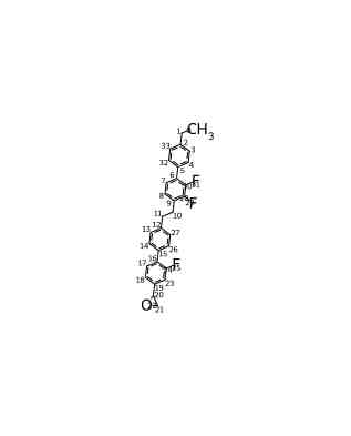 CCc1ccc(-c2ccc(CCc3ccc(-c4ccc(C5CO5)cc4F)cc3)c(F)c2F)cc1